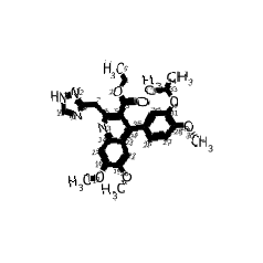 CCOC(=O)c1c(Cc2nc[nH]n2)nc2cc(OC)c(OC)cc2c1-c1ccc(OC)c(OC(C)C)c1